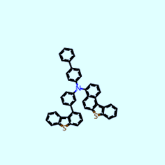 c1ccc(-c2ccc(N(c3cccc(-c4cccc5sc6ccccc6c45)c3)c3cccc4c3ccc3sc5ccccc5c34)cc2)cc1